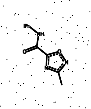 Cc1noc(C(=O)NC(C)C)n1